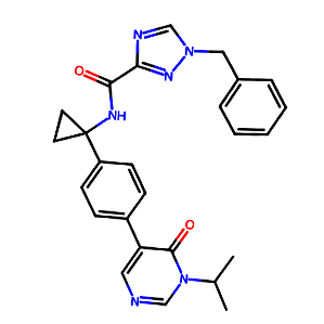 CC(C)n1cncc(-c2ccc(C3(NC(=O)c4ncn(Cc5ccccc5)n4)CC3)cc2)c1=O